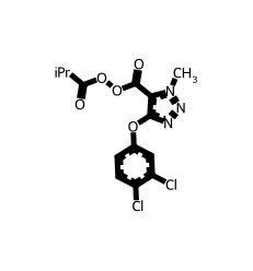 CC(C)C(=O)OOC(=O)c1c(Oc2ccc(Cl)c(Cl)c2)nnn1C